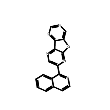 c1ccc2c(-c3cnc4c(n3)oc3cncnc34)nccc2c1